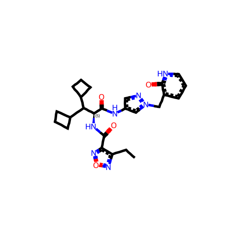 CCc1nonc1C(=O)N[C@H](C(=O)Nc1cnn(Cc2ccc[nH]c2=O)c1)C(C1CCC1)C1CCC1